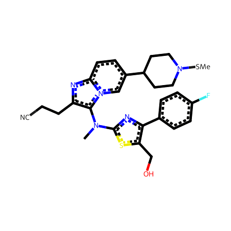 CSN1CCC(c2ccc3nc(CCC#N)c(N(C)c4nc(-c5ccc(F)cc5)c(CO)s4)n3c2)CC1